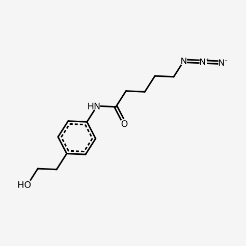 [N-]=[N+]=NCCCCC(=O)Nc1ccc(CCO)cc1